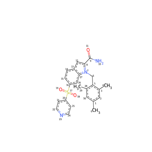 Cc1cc(C)c(Cn2c(C(N)=O)cc3ccc(S(=O)(=O)c4ccncc4)cc32)c(C)c1